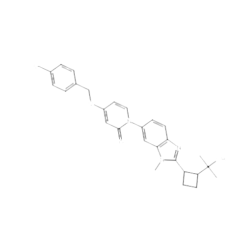 Cn1c(C2CCC2C(C)(C)O)nc2ccc(-n3ccc(OCc4ccc(Cl)cc4)cc3=O)cc21